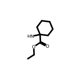 CCOC(=O)C1([NH])CCCCC1